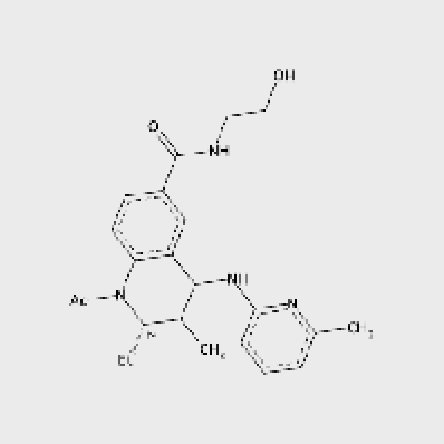 CC[C@H]1C(C)C(Nc2cccc(C)n2)c2cc(C(=O)NCCO)ccc2N1C(C)=O